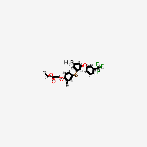 Bc1cc(Oc2cccc(C(F)(F)F)c2)cc(Sc2ccc(OCC(=O)OCC)c(C)c2)c1